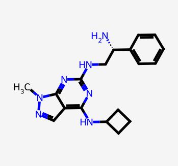 Cn1ncc2c(NC3CCC3)nc(NC[C@H](N)c3ccccc3)nc21